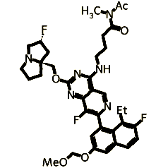 CCc1c(F)ccc2cc(OCOC)cc(-c3ncc4c(NCCCC(=O)N(C)C(C)=O)nc(OC[C@@]56CCCN5C[C@H](F)C6)nc4c3F)c12